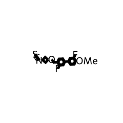 COc1ccc(-c2ccc(COC3CC(N=C=S)C3)c(F)c2)cc1F